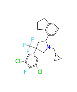 Fc1c(Cl)cc(C2(C(F)(F)F)CC(c3cccc4c3CCC4)N(CC3CC3)C2)cc1Cl